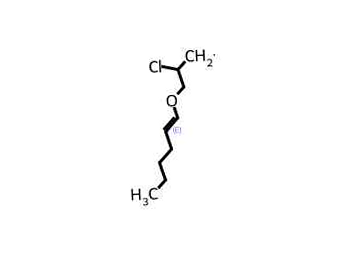 [CH2]C(Cl)CO/C=C/CCCC